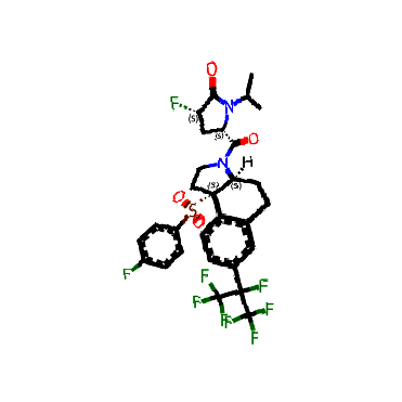 CC(C)N1C(=O)[C@@H](F)C[C@H]1C(=O)N1CC[C@]2(S(=O)(=O)c3ccc(F)cc3)c3ccc(C(F)(C(F)(F)F)C(F)(F)F)cc3CC[C@H]12